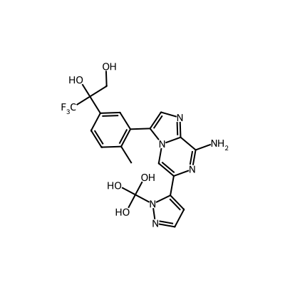 Cc1ccc(C(O)(CO)C(F)(F)F)cc1-c1cnc2c(N)nc(-c3ccnn3C(O)(O)O)cn12